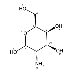 N[C@@H]1C(O)O[C@@H](CO)[C@@H](O)[C@H]1O